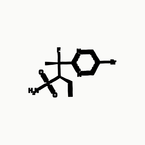 C=C[C@H]([C@](C)(F)c1ncc(Br)cn1)S(N)(=O)=O